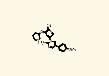 COc1ccc(C2=CN(c3cnc(C#N)c(OC4CCCNC4)c3)C(N)N=C2)cc1